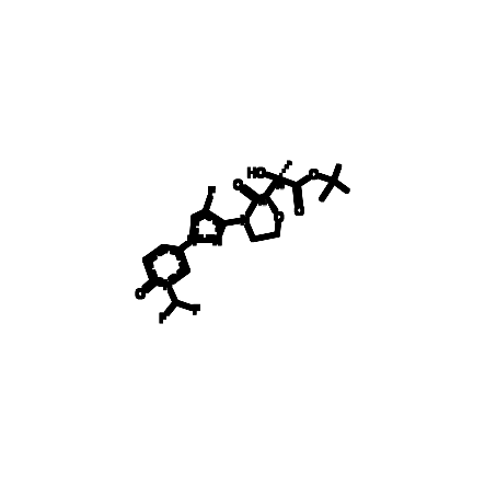 CC(C)(C)OC(=O)[C@](C)(O)[C@H]1OCCN(c2nn(-c3ccc(=O)n(C(F)F)c3)cc2F)C1=O